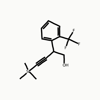 C[Si](C)(C)C#CC(CO)c1ccccc1C(F)(F)F